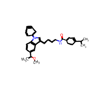 COC(C)c1ccc2c(c1)c(CCCCNC(=O)c1ccc(C(C)C)cc1)cn2-c1ccccc1